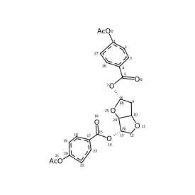 CC(=O)Oc1ccc(C(=O)O[C@@H]2CC3OC[C@H](OC(=O)c4ccc(OC(C)=O)cc4)C3O2)cc1